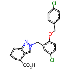 O=C(O)c1cccc2nn(Cc3cc(Cl)ccc3OCc3ccc(Cl)cc3)cc12